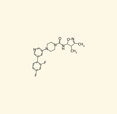 CC1=NOC(NC(=O)N2CCN(c3cncc(-c4ccc(F)cc4F)c3)CC2)C1C